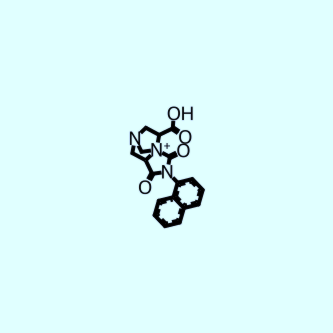 O=C(O)C1CN2CC3C(=O)N(c4cccc5ccccc45)C(=O)[N+]13C2